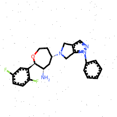 N[C@H]1C[C@@H](N2Cc3cnn(-c4ccccc4)c3C2)CCO[C@@H]1c1cc(F)ccc1F